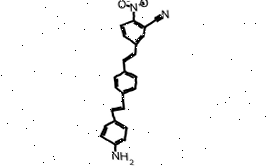 N#Cc1cc(C=Cc2ccc(C=Cc3ccc(N)cc3)cc2)ccc1[N+](=O)[O-]